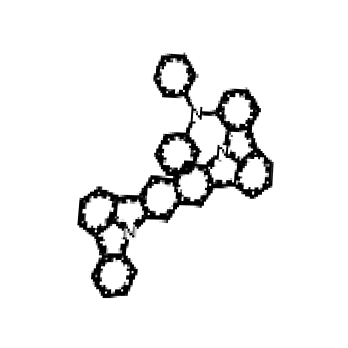 c1ccc(N(c2ccccc2)c2cccc3c4cccc5c6cc7cc8c(cc7cc6n(c23)c54)c2cccc3c4ccccc4n8c32)cc1